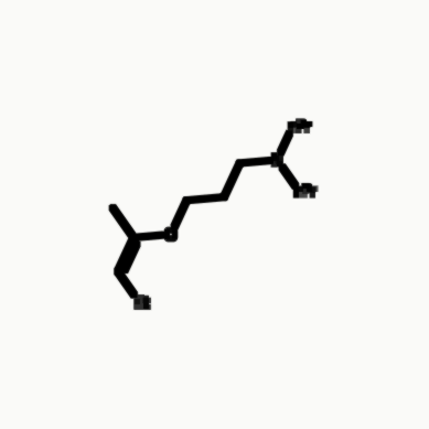 CCC=C(C)OCCCN(CCC)CCC